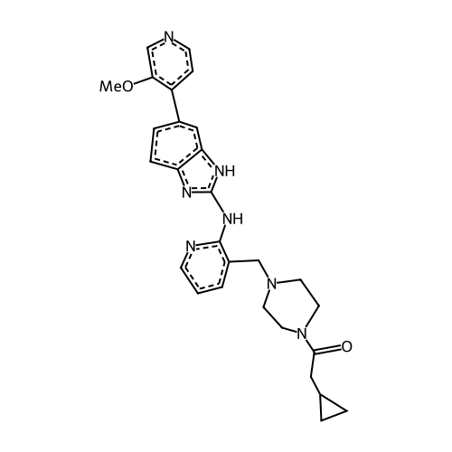 COc1cnccc1-c1ccc2nc(Nc3ncccc3CN3CCN(C(=O)CC4CC4)CC3)[nH]c2c1